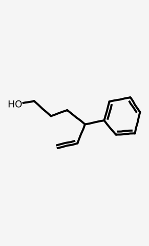 C=CC(CCCO)c1ccccc1